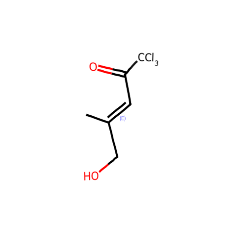 C/C(=C\C(=O)C(Cl)(Cl)Cl)CO